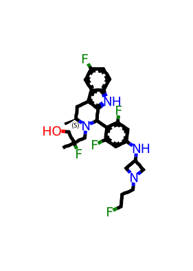 C[C@H]1Cc2c([nH]c3ccc(F)cc23)C(c2c(F)cc(NC3CN(CCCF)C3)cc2F)N1CC(C)(F)CO